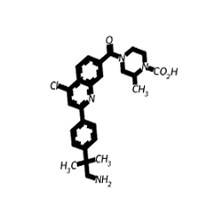 CC1CN(C(=O)c2ccc3c(Cl)cc(-c4ccc(C(C)(C)CN)cc4)nc3c2)CCN1C(=O)O